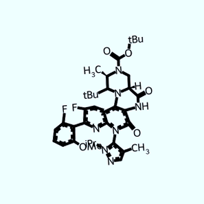 COc1cccc(F)c1-c1nc2c(cc1F)c1c(c(=O)n2-c2c(C)cnn2C(C)C)NC(=O)[C@H]2CN(C(=O)OC(C)(C)C)[C@H](C)C(C(C)(C)C)N12